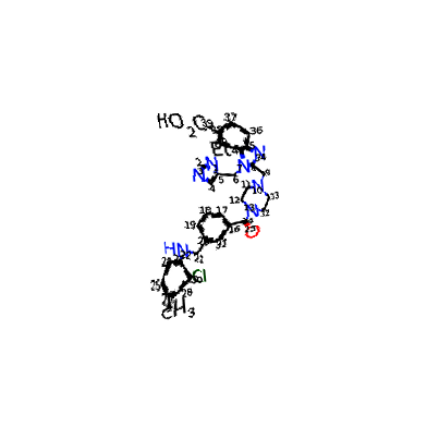 CCn1cncc1Cn1c(CN2CCN(C(=O)c3cccc(CNc4ccc(C)cc4Cl)c3)CC2)nc2ccc(C(=O)O)cc21